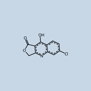 O=C1OCc2nc3cc(Cl)ccc3c(O)c21